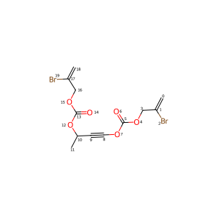 C=C(Br)COC(=O)OC#CC(C)OC(=O)OCC(=C)Br